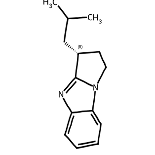 CC(C)C[C@@H]1CCn2c1nc1ccccc12